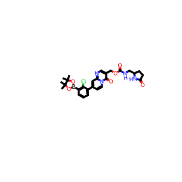 CC1(C)OB(c2cccc(-c3ccn4c(=O)c(COC(=O)NCC5CCC(=O)N5)cnc4c3)c2Cl)OC1(C)C